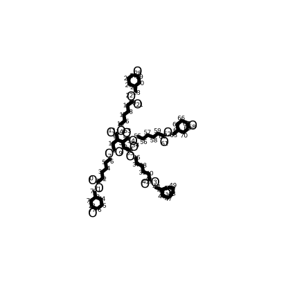 O=C(CCCCCOC(=O)CC(C(=O)OCCCCCC(=O)OCC1CCC2OC2C1)C(CC(=O)OCCCCCC(=O)OCC1CCC2CC1O2)C(=O)OCCCCCC(=O)OCC1CCC2OC2C1)OCC1CCC2OC2C1